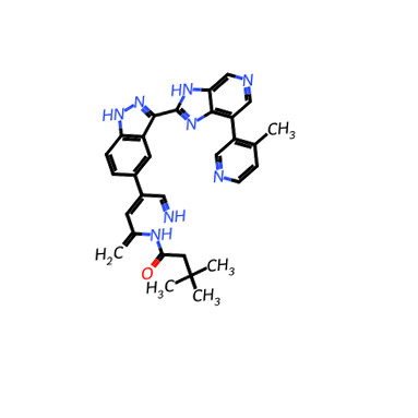 C=C(/C=C(\C=N)c1ccc2[nH]nc(-c3nc4c(-c5cnccc5C)cncc4[nH]3)c2c1)NC(=O)CC(C)(C)C